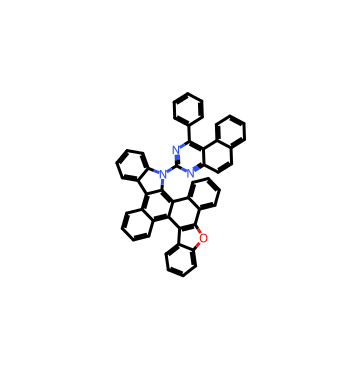 c1ccc(-c2nc(-n3c4ccccc4c4c5ccccc5c5c6c7ccccc7oc6c6ccccc6c5c43)nc3ccc4ccccc4c23)cc1